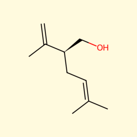 C=C(C)[C@@H](CO)CC=C(C)C